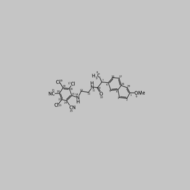 COc1ccc2cc(C(C)C(=O)NCCNc3c(Cl)c(Cl)c(C#N)c(Cl)c3C#N)ccc2c1